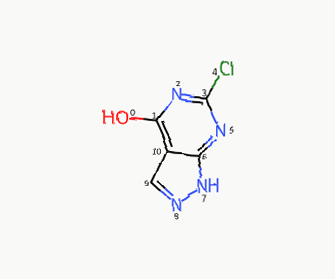 Oc1nc(Cl)nc2[nH]ncc12